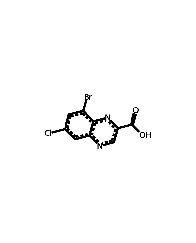 O=C(O)c1cnc2cc(Cl)cc(Br)c2n1